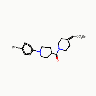 CCOC(=O)C=C1CCN(C(=O)C2CCN(c3ccc(C#N)cc3)CC2)CC1